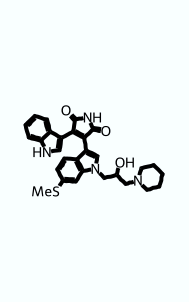 CSc1ccc2c(C3=C(c4c[nH]c5ccccc45)C(=O)NC3=O)cn(CC(O)CN3CCCCC3)c2c1